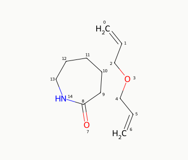 C=CCOCC=C.O=C1CCCCCN1